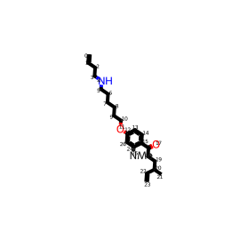 C=CCCNCCCCCCOc1ccc(C(=O)CCC(C)C=C)c(NC)c1